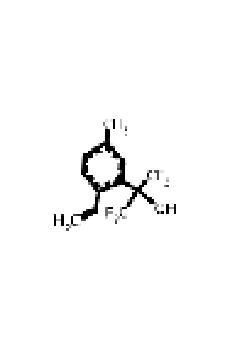 C=Cc1ccc(C)cc1C(O)(C(F)(F)F)C(F)(F)F